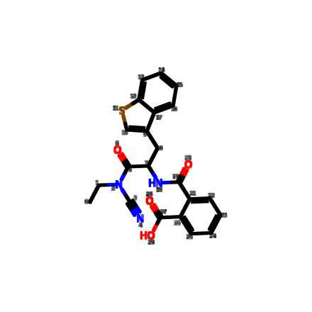 CCN(C#N)C(=O)C(Cc1csc2ccccc12)NC(=O)c1ccccc1C(=O)O